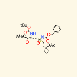 COC(=O)[C@H](CC[S@@](=O)(CCC1(OC(C)=O)CCC1)=NC(=O)OCc1ccccc1)NC(=O)OC(C)(C)C